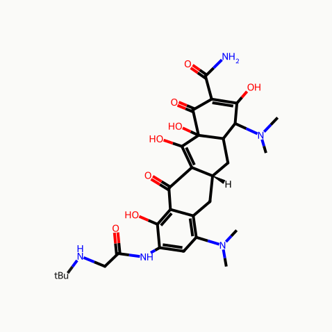 CN(C)c1cc(NC(=O)CNC(C)(C)C)c(O)c2c1C[C@H]1CC3C(N(C)C)C(O)=C(C(N)=O)C(=O)C3(O)C(O)=C1C2=O